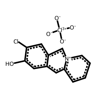 Oc1cc2cc3cccc[n+]3cc2cc1Cl.[O-][Cl+3]([O-])([O-])[O-]